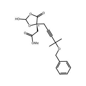 COC(=O)C[C@@]1(CC#CC(C)(C)OCc2ccccc2)OC(O)OC1=O